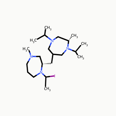 CC(C)N1CC(C[C@H]2CN(C)CCCN2C(C)I)CN(C(C)C)[C@@H](C)C1